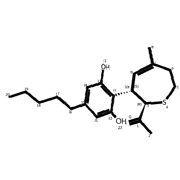 C=C(C)[C@@H]1SCCC(C)=C[C@H]1c1c(O)cc(CCCCC)cc1O